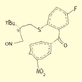 CCCC[C@@H](CN=O)CSc1ccc(F)cc1C(=O)c1cccc([N+](=O)[O-])c1